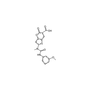 COc1cccc(NC(=O)N(C)c2cc3oc(=O)c(C(=O)O)cc3s2)c1